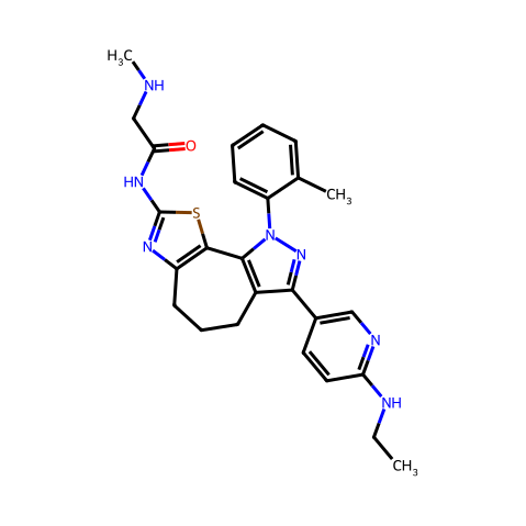 CCNc1ccc(-c2nn(-c3ccccc3C)c3c2CCCc2nc(NC(=O)CNC)sc2-3)cn1